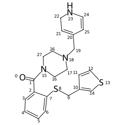 O=C(c1ccccc1SCc1ccsc1)N1CCN(CC2=CCNC=C2)CC1